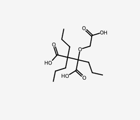 CCCC(CCC)(C(=O)O)C(CCC)(OCC(=O)O)C(=O)O